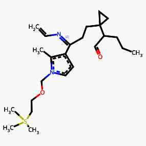 C=C/N=C(/CCC1(C(C=O)CCC)CC1)c1ccn(COCCS(C)(C)C)c1C